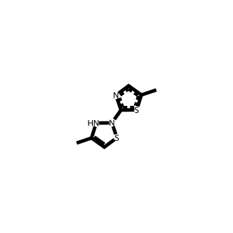 CC1=CSN(c2ncc(C)s2)N1